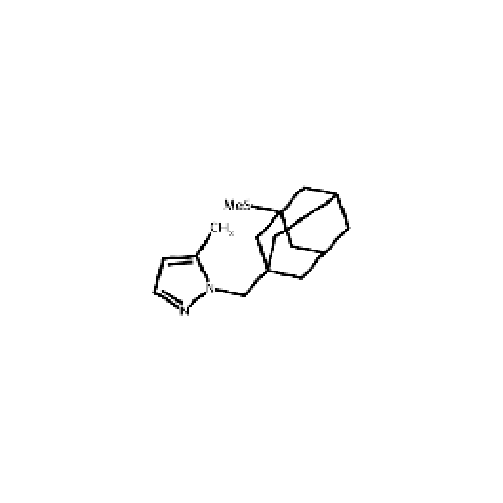 CSC12CC3CC(CC(Cn4nccc4C)(C3)C1)C2